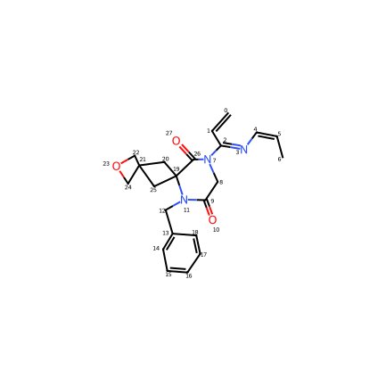 C=C/C(=N\C=C/C)N1CC(=O)N(Cc2ccccc2)C2(CC3(COC3)C2)C1=O